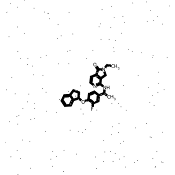 CCN1Cc2c(ccnc2NC(C)c2ccc(OC3CCc4ccccc43)c(F)c2)C1=O